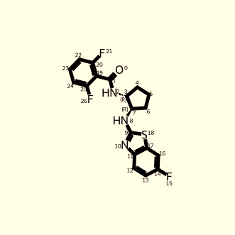 O=C(N[C@@H]1CCC[C@H]1Nc1nc2ccc(F)cc2s1)c1c(F)cccc1F